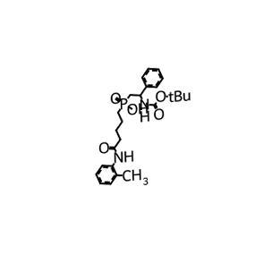 Cc1ccccc1NC(=O)CCCCP(=O)(O)CC(NC(=O)OC(C)(C)C)c1ccccc1